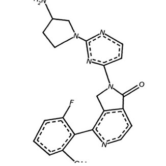 COc1cccc(F)c1-c1nccc2c1CN(c1ccnc(N3CCC(N)C3)n1)C2=O